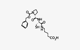 O=C(O)CCCCNC(=O)[C@H](CS)NC(=O)[C@H]1CCCN1C(=O)OCc1ccccc1